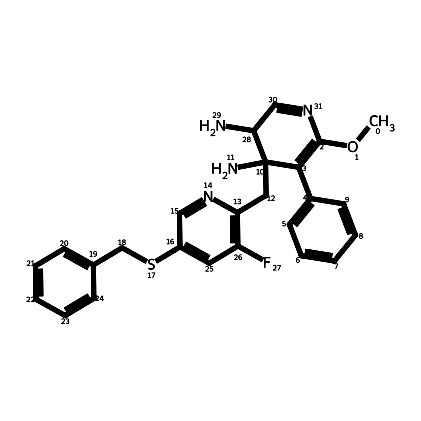 COC1=C(c2ccccc2)C(N)(Cc2ncc(SCc3ccccc3)cc2F)C(N)C=N1